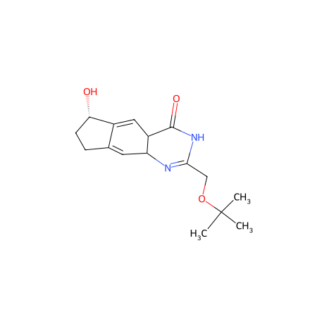 CC(C)(C)OCC1=NC2C=C3CC[C@H](O)C3=CC2C(=O)N1